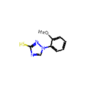 COc1ccccc1-n1cnc(S)n1